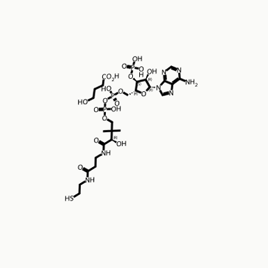 CC(C)(COP(=O)(O)OP(=O)(O)OC[C@H]1O[C@@H](n2cnc3c(N)ncnc32)[C@H](O)[C@@H]1OP(=O)(O)O)[C@@H](O)C(=O)NCCC(=O)NCCS.O=C(O)CCCO